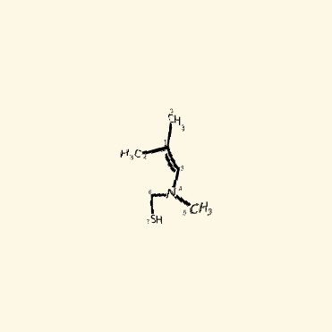 CC(C)=CN(C)CS